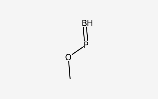 B=POC